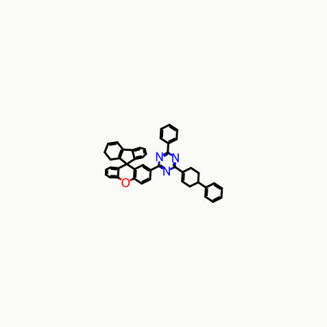 C1=CC2=C(CC1)C1(c3ccccc3Oc3ccc(-c4nc(C5=CCC(c6ccccc6)CC5)nc(-c5ccccc5)n4)cc31)c1ccccc12